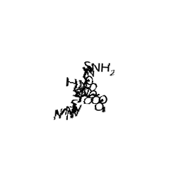 CCOC(=O)OC(C)OC(=O)C1=C(CSc2nnnn2CCN(C)C)CS[C@H]2[C@H](NC(=O)Cc3csc(N)n3)C(=O)N12